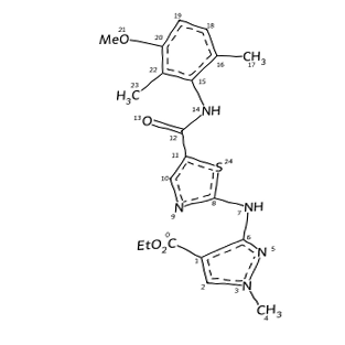 CCOC(=O)c1cn(C)nc1Nc1ncc(C(=O)Nc2c(C)ccc(OC)c2C)s1